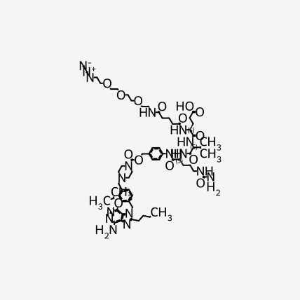 CCCCc1nc2c(N)nnc(OC(C)C)c2n1Cc1ccc(CN2CCN(C(=O)OCc3ccc(NC(=O)[C@H](CCCNC(N)=O)NC(=O)[C@@H](NC(=O)[C@H](CCC(=O)O)NC(=O)CCCC(=O)NCCOCCOCCOCCN=[N+]=[N-])C(C)C)cc3)CC2)cc1